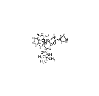 CC(C)C[C@H](NC(=O)c1ccncn1)C(=O)NC(Cc1ccccc1)C(=O)C(=O)NC(C)(C)C